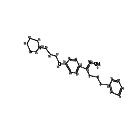 ON=C(CCCc1ccccc1)c1ccc(OCCCN2CCCCC2)cc1